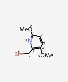 COc1ccc(OC)c(CBr)n1